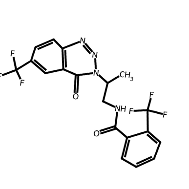 CC(CNC(=O)c1ccccc1C(F)(F)F)n1nnc2ccc(C(F)(F)F)cc2c1=O